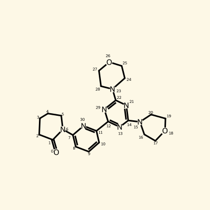 O=C1CCCCN1c1cccc(-c2nc(N3CCOCC3)nc(N3CCOCC3)n2)n1